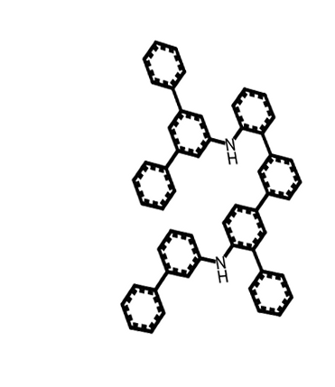 c1ccc(-c2cccc(Nc3ccc(-c4cccc(-c5ccccc5Nc5cc(-c6ccccc6)cc(-c6ccccc6)c5)c4)cc3-c3ccccc3)c2)cc1